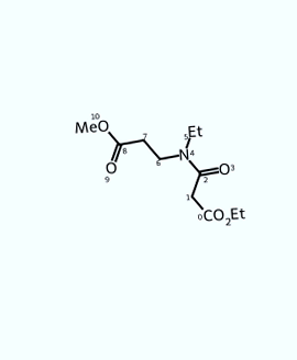 CCOC(=O)CC(=O)N(CC)CCC(=O)OC